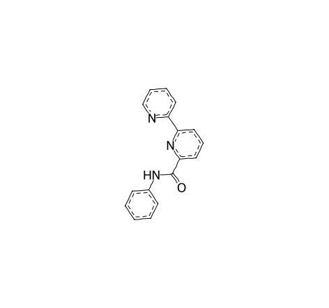 O=C(Nc1ccccc1)c1cccc(-c2ccccn2)n1